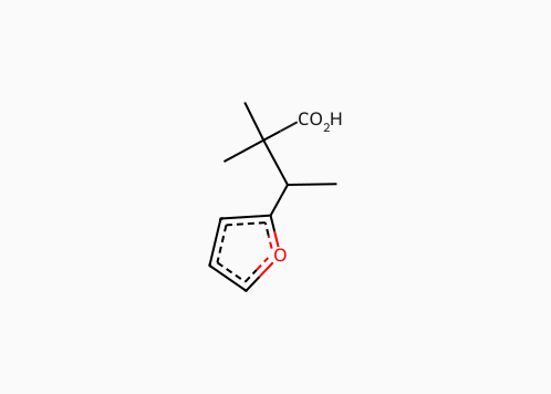 CC(c1ccco1)C(C)(C)C(=O)O